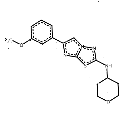 FC(F)(F)Oc1cccc(-c2cn3nc(NC4CCOCC4)sc3n2)c1